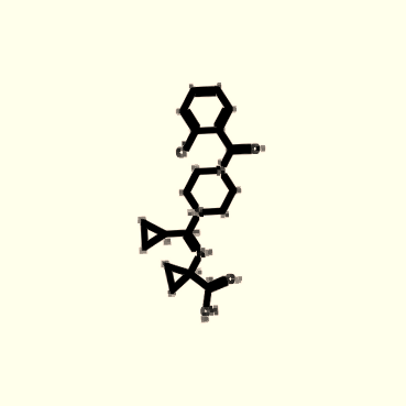 O=C(c1ccccc1Cl)N1CCN(C(=NC2(C(=O)O)CC2)C2CC2)CC1